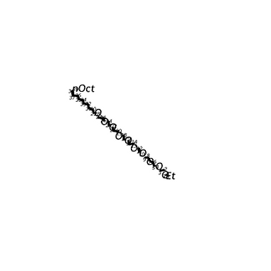 [CH2]COCCOCCOCCOCCOCCOCCOCCOCCOCCOCCCCCCCC/C=C\CCCCCCCC